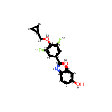 Oc1ccc2nc(-c3cc(F)c(OCC4CC4)c(F)c3)oc2c1